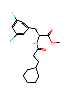 COC(=O)[C@H](Cc1cc(F)cc(F)c1)NC(=O)CCC1CCCCC1